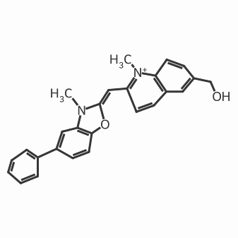 CN1/C(=C/c2ccc3cc(CO)ccc3[n+]2C)Oc2ccc(-c3ccccc3)cc21